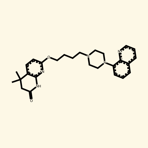 CC1(C)CC(=O)Nc2nc(OCCCCN3CCN(c4cccc5cccnc45)CC3)ccc21